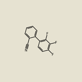 N#Cc1ccccc1-c1ccc(F)c(F)c1F